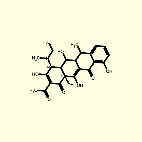 CCN(C)[C@@H]1C(O)=C(C(C)=O)C(=O)[C@@]2(O)C(O)=C3C(=O)c4c(O)cccc4C(C)C3C(O)C12